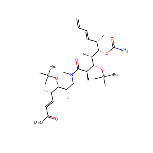 C=CC=C[C@H](C)[C@H](OC(N)=O)[C@@H](C)[C@H](O[Si](C)(C)C(C)(C)C)[C@@H](C)C(=O)N(C)C[C@H](C)[C@@H](O[Si](C)(C)C(C)(C)C)[C@@H](C)C=CC(=O)OC